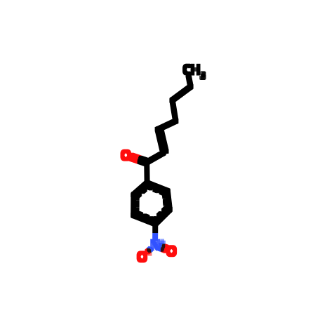 CCCC/C=C/C(=O)c1ccc([N+](=O)[O-])cc1